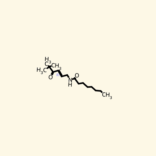 CCCCCCCC(=O)NC/C=C/C(=O)C(C)(C)C